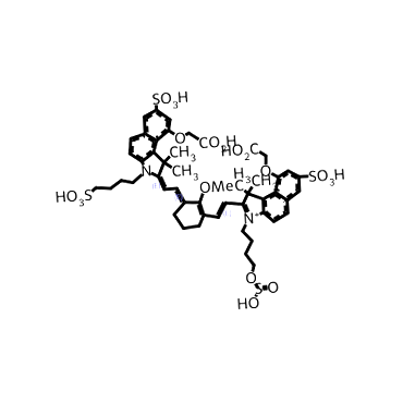 COC1=C(/C=C/C2=[N+](CCCCOS(=O)O)c3ccc4cc(S(=O)(=O)O)cc(OCC(=O)O)c4c3C2(C)C)CCC/C1=C\C=C1\N(CCCCS(=O)(=O)O)c2ccc3cc(S(=O)(=O)O)cc(OCC(=O)O)c3c2C1(C)C